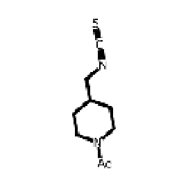 CC(=O)N1CCC(CN=C=S)CC1